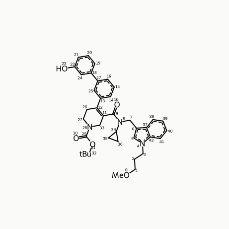 COCCCn1cc(CN(C(=O)C2=C(c3cccc(-c4cccc(O)c4)c3)CCN(C(=O)OC(C)(C)C)C2)C2CC2)c2ccccc21